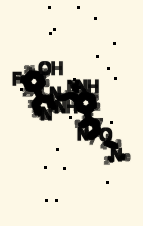 CN(C)CCOc1cncc(-c2ccc3[nH]nc(-c4nc5c(-c6cc(O)cc(F)c6)ccnc5[nH]4)c3c2)c1